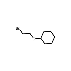 BrCCOC1C[CH]CCC1